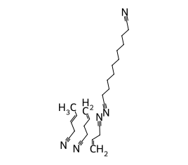 C=CCC#N.C=CCCC#N.CC=CCC#N.N#CCCCCCCCCCCC#N